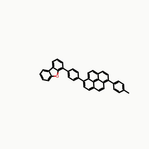 Cc1ccc(-c2ccc3ccc4c(-c5ccc(-c6cccc7c6oc6ccccc67)cc5)ccc5ccc2c3c54)cc1